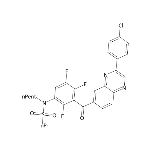 CCCCCN(c1cc(F)c(F)c(C(=O)c2ccc3ncc(-c4ccc(Cl)cc4)nc3c2)c1F)S(=O)(=O)CCC